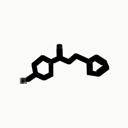 CC(C)C1CCN(C(=O)CCc2ccccc2)CC1